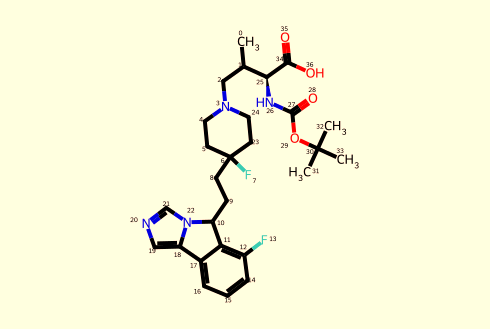 CC(CN1CCC(F)(CCC2c3c(F)cccc3-c3cncn32)CC1)[C@H](NC(=O)OC(C)(C)C)C(=O)O